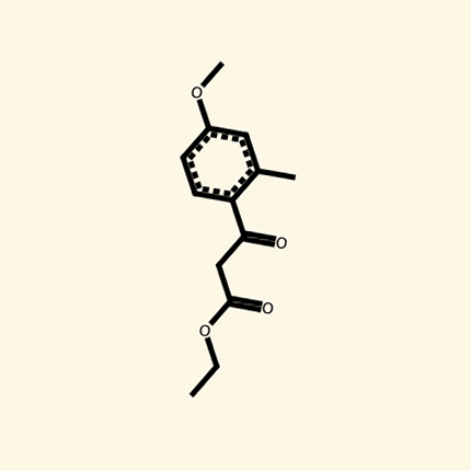 CCOC(=O)CC(=O)c1ccc(OC)cc1C